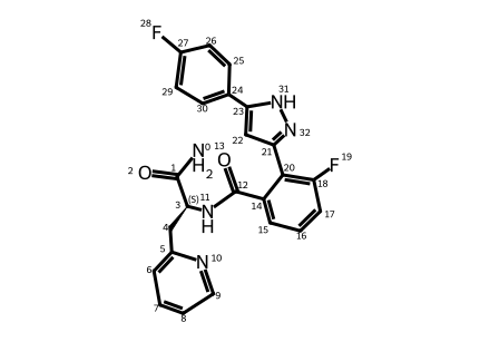 NC(=O)[C@H](Cc1ccccn1)NC(=O)c1cccc(F)c1-c1cc(-c2ccc(F)cc2)[nH]n1